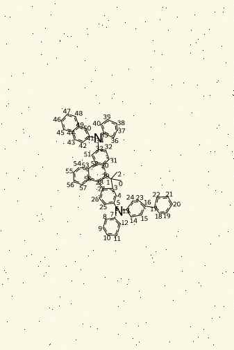 CC1(C)c2cc(N(c3ccccc3)c3ccc(-c4ccccc4)cc3)ccc2-c2c1c1ccc(N(c3ccccc3)c3ccc4ccccc4c3)cc1c1ccccc21